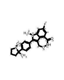 CN1CCCC1(C)c1ccc(-c2c3c4c(cc(F)cc4n2C)C(=O)NOC3)cc1